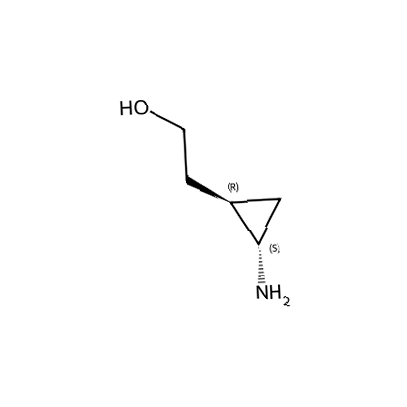 N[C@H]1C[C@@H]1CCO